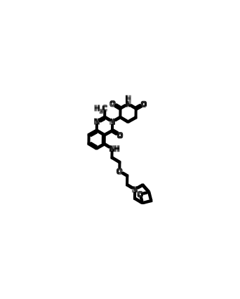 Cc1nc2cccc(NCCOCCN3CC4CC(C3)O4)c2c(=O)n1C1CCC(=O)NC1=O